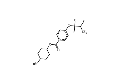 CCCC1CCC(OC(=O)c2ccc(OC(F)(F)C(F)C(F)(F)F)cc2)CC1